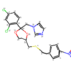 O=[N+]([O-])c1ccc(CSCC2COC(Cn3ccnc3)(c3ccc(Cl)cc3Cl)O2)cc1